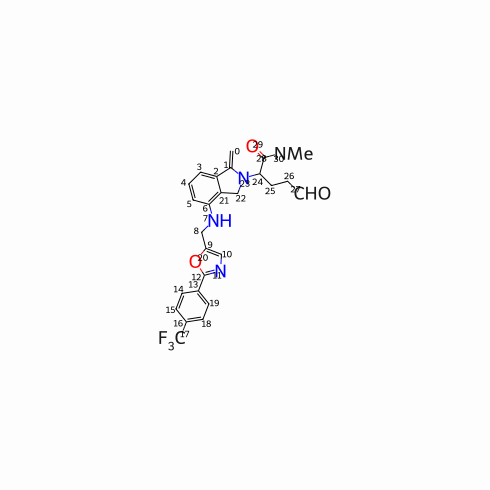 C=C1c2cccc(NCc3cnc(-c4ccc(C(F)(F)F)cc4)o3)c2CN1C(CCC=O)C(=O)NC